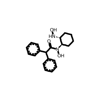 O=C(C(c1ccccc1)c1ccccc1)N(O)[C@@H]1CCCC[C@H]1NO